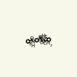 Cc1ccccc1C(C)NC(=O)N(S)c1ccc(NC(=O)c2ccccc2F)cc1